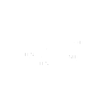 CCCCCCN.NCCN